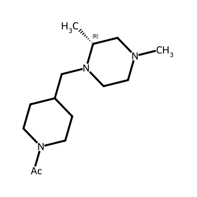 CC(=O)N1CCC(CN2CCN(C)C[C@H]2C)CC1